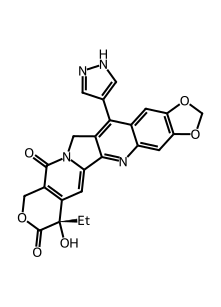 CC[C@@]1(O)C(=O)OCc2c1cc1n(c2=O)Cc2c-1nc1cc3c(cc1c2-c1cn[nH]c1)OCO3